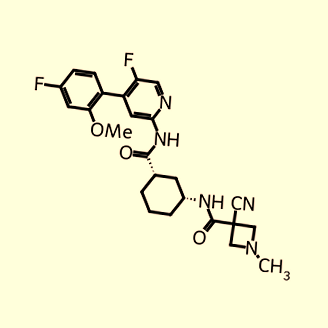 COc1cc(F)ccc1-c1cc(NC(=O)[C@H]2CCC[C@@H](NC(=O)C3(C#N)CN(C)C3)C2)ncc1F